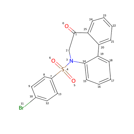 O=C1CN(S(=O)(=O)c2ccc(Br)cc2)c2ccccc2-c2ccccc21